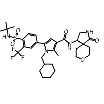 Cc1c(C(=O)NC2CNC(=O)C23CCOCC3)cc(-c2ccc(S(=O)(=O)NC(C)(C)C)c(C(F)(F)F)c2)n1CC1CCCCC1